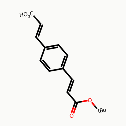 CC(C)(C)OC(=O)C=Cc1ccc(C=CC(=O)O)cc1